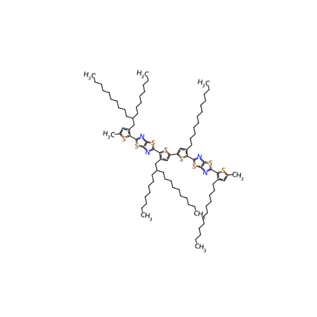 CCCCCCCCCCCCc1cc(C)sc1-c1nc2sc(-c3sc(-c4cc(CC(CCCCCCCC)CCCCCCCCCC)c(-c5nc6sc(-c7sc(C)cc7CC(CCCCCCCC)CCCCCCCCCC)nc6s5)s4)cc3CCCCCCCCCCCC)nc2s1